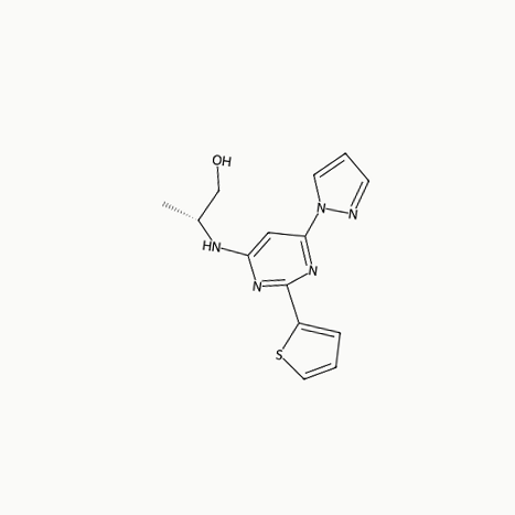 C[C@H](CO)Nc1cc(-n2cccn2)nc(-c2cccs2)n1